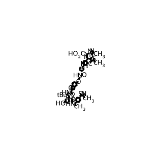 Cc1ncsc1-c1ccc(C(C)NC(=O)[C@@H]2C[C@@H](O)CN2C(=O)C(NC(=O)c2cc3cc(OCCNC(=O)[C@@H]4CCN(c5ccc(C6=N[C@@H](CC(=O)O)c7nnc(C)n7-c7sc(C)c(C)c76)cc5)C4)ccc3o2)C(C)(C)C)cc1